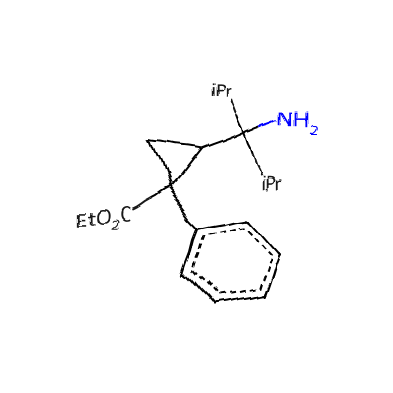 CCOC(=O)C1(c2ccccc2)CC1C(N)(C(C)C)C(C)C